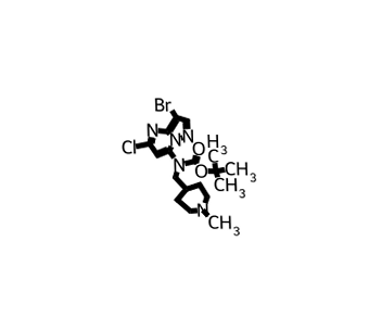 CN1CCC(CN(C(=O)OC(C)(C)C)c2cc(Cl)nc3c(Br)cnn23)CC1